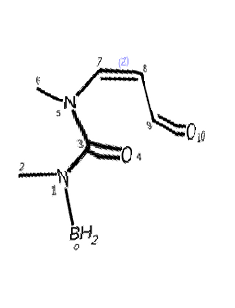 BN(C)C(=O)N(C)/C=C\C=O